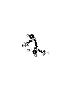 O=S(=O)(O)CCCCN1C(=CC=CC=Cc2sc3ccc(Cl)cc3[n+]2CCCCS(=O)(=O)O)Sc2ccc(Cl)cc21.[OH-]